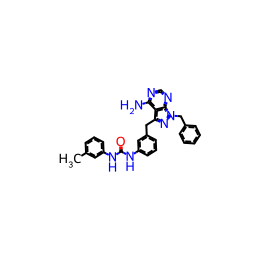 Cc1cccc(NC(=O)Nc2cccc(Cc3nn(Cc4ccccc4)c4ncnc(N)c34)c2)c1